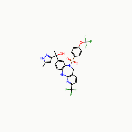 Cc1cc(C(C)(O)c2ccc3c(c2)N(S(=O)(=O)c2ccc(OC(F)(F)F)cc2)Cc2ccc(C(F)(F)F)nc2N3)n[nH]1